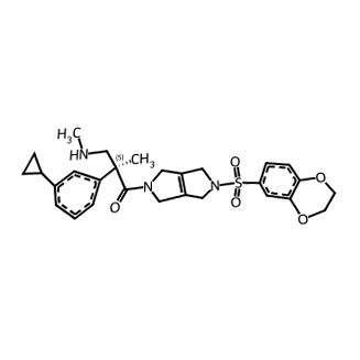 CNC[C@@](C)(C(=O)N1CC2=C(C1)CN(S(=O)(=O)c1ccc3c(c1)OCCO3)C2)c1cccc(C2CC2)c1